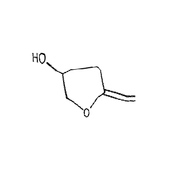 C=C1CC(O)CO1